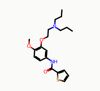 CCCN(CCC)CCOc1cc(NC(=O)c2cccs2)ccc1OC